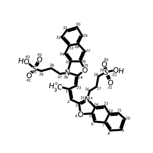 CC(=Cc1oc2cc3ccccc3cc2[n+]1CCCS(=O)(=O)O)C=C1Oc2cc3ccccc3cc2N1CCCS(=O)(=O)O